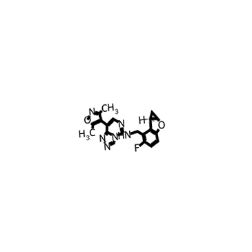 Cc1noc(C)c1-c1cnc(NCc2c(F)ccc3c2[C@H]2CC2O3)n2cnnc12